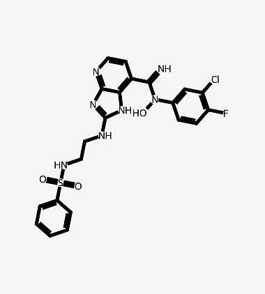 N=C(c1ccnc2nc(NCCNS(=O)(=O)c3ccccc3)[nH]c12)N(O)c1ccc(F)c(Cl)c1